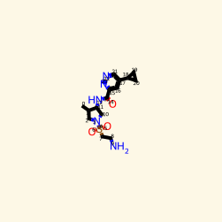 CC1CN(S(=O)(=O)CCN)CC1NC(=O)c1cc(C2CC2)cnn1